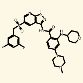 CN1CCN(c2ccc(C(=O)Nc3n[nH]c4ncc(S(=O)(=O)Cc5cc(F)cc(F)c5)cc34)c(NC3CCOCC3)c2)CC1